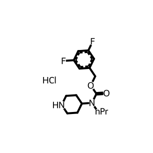 CCCN(C(=O)OCc1cc(F)cc(F)c1)C1CCNCC1.Cl